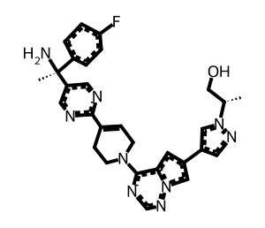 C[C@@H](CO)n1cc(-c2cc3c(N4CC=C(c5ncc([C@@](C)(N)c6ccc(F)cc6)cn5)CC4)ncnn3c2)cn1